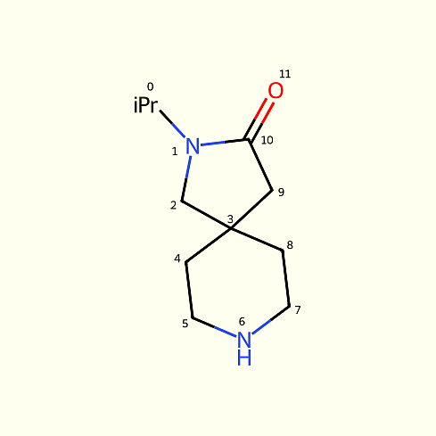 CC(C)N1CC2(CCNCC2)CC1=O